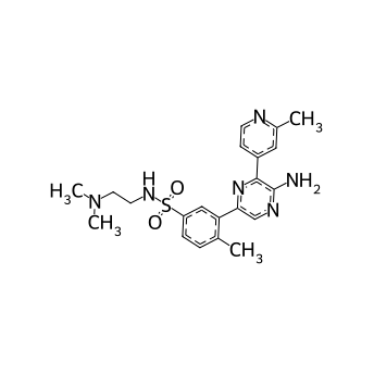 Cc1cc(-c2nc(-c3cc(S(=O)(=O)NCCN(C)C)ccc3C)cnc2N)ccn1